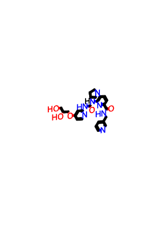 O=C(NCc1cccnc1)c1ccc2c(n1)N(C(=O)Nc1cc(OCC(O)CO)ccn1)[C@H]1CCN2C1